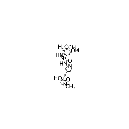 CN1CC[C@@](O)(C#Cc2ccnc(NC(=O)c3n[nH]c4c3C[C@H](O)C(C)(C)C4)c2)C1=O